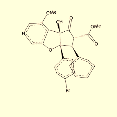 COC(=O)[C@H]1C(=O)[C@@]2(O)c3c(OC)cncc3O[C@@]2(c2ccc(Br)cc2)[C@@H]1c1ccccc1